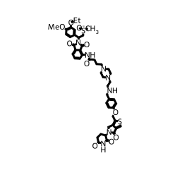 CCOc1cc(C(C[S+](C)[O-])N2C(=O)c3cccc(NC(=O)CCCN4CCN(CCNCc5ccc(OCc6scc7c6CN(C6CCC(=O)NC6=O)C7=O)cc5)CC4)c3C2=O)ccc1OC